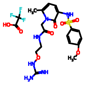 COc1ccc(S(=O)(=O)Nc2ccc(C)n(CC(=O)NCCONC(=N)N)c2=O)cc1.O=C(O)C(F)(F)F